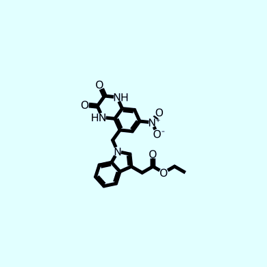 CCOC(=O)Cc1cn(Cc2cc([N+](=O)[O-])cc3[nH]c(=O)c(=O)[nH]c23)c2ccccc12